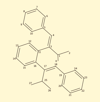 CC(C)C(=Cc1ccccc1)c1ccccc1C(=Cc1ccccc1)C(C)C